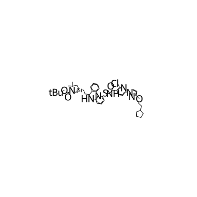 CC(C)(C)OC(=O)N1C[C@@H](CCC(Nc2cccc(SNC(=O)c3ccc(-n4ccc(OCCC5CCCC5)n4)nc3Cl)n2)c2ccccc2)CC1(C)C